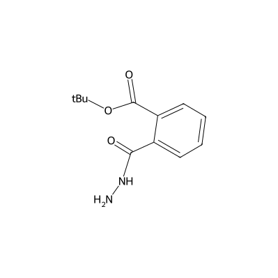 CC(C)(C)OC(=O)c1ccccc1C(=O)NN